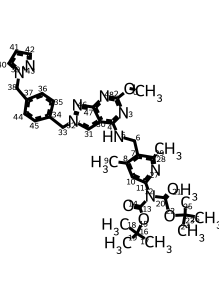 COc1nc(NCc2c(C)cc(N(C(=O)OC(C)(C)C)C(=O)OC(C)(C)C)nc2C)c2cn(Cc3ccc(Cn4cccn4)cc3)nc2n1